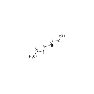 COCCNCCS